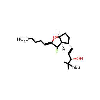 CCCCC(C)(C)[C@H](O)C=C[C@H]1CC[C@@H]2OC(=CCCCC(=O)O)C(F)[C@@H]21